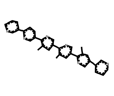 Cc1cc(-c2cccnc2)cnc1-c1cnc(-c2cnc(-c3ccc(-c4cccnc4)nc3)c(C)c2)c(C)c1